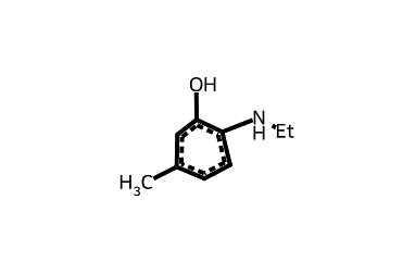 CCNc1ccc(C)cc1O